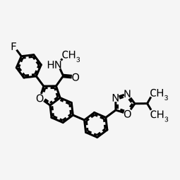 CNC(=O)c1c(-c2ccc(F)cc2)oc2ccc(-c3cccc(-c4nnc(C(C)C)o4)c3)cc12